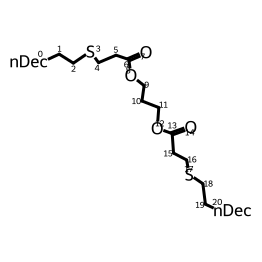 CCCCCCCCCCCCSCCC(=O)OCCCOC(=O)CCSCCCCCCCCCCCC